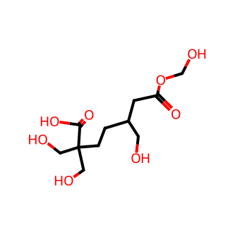 O=C(CC(CO)CCC(CO)(CO)C(=O)O)OCO